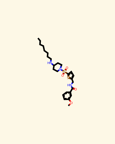 CCCCCCCCNC1CCN(S(=O)(=O)c2ccc(CNC(=O)c3cccc(OC)c3)s2)CC1